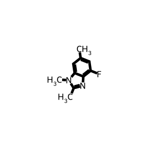 Cc1cc(F)c2nc(C)n(C)c2c1